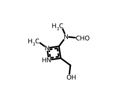 CN(C=O)c1c(CO)[nH]n1C